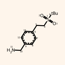 CC(C)(C)S(=O)(=O)CCc1ccc(CN)cc1